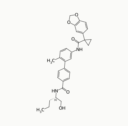 CCC[C@@H](CO)NC(=O)c1ccc(-c2cc(NC(=O)C3(c4ccc5c(c4)OCO5)CC3)ccc2C)cc1